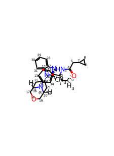 CC[C@H](NC(=O)CC1CC1)c1cccc(N2[C@@H]3COC[C@H]2C[C@@H](n2c(C)nc4ccccc42)C3)c1